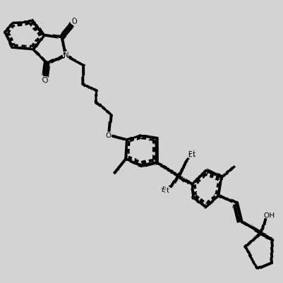 CCC(CC)(c1ccc(C=CC2(O)CCCC2)c(C)c1)c1ccc(OCCCCCN2C(=O)c3ccccc3C2=O)c(C)c1